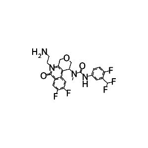 CN(C(=O)Nc1ccc(F)c(C(F)F)c1)C1COCc2c1c1cc(F)c(F)cc1c(=O)n2CCN